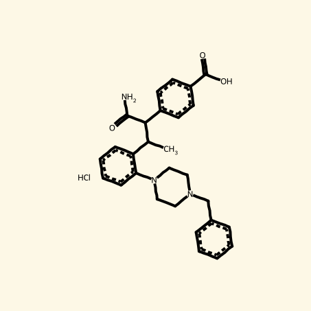 CC(c1ccccc1N1CCN(Cc2ccccc2)CC1)C(C(N)=O)c1ccc(C(=O)O)cc1.Cl